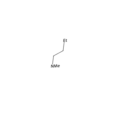 [CH2-][NH2+]CCCC